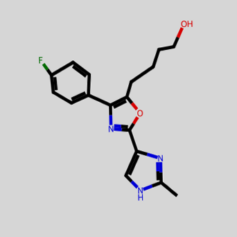 Cc1nc(-c2nc(-c3ccc(F)cc3)c(CCCCO)o2)c[nH]1